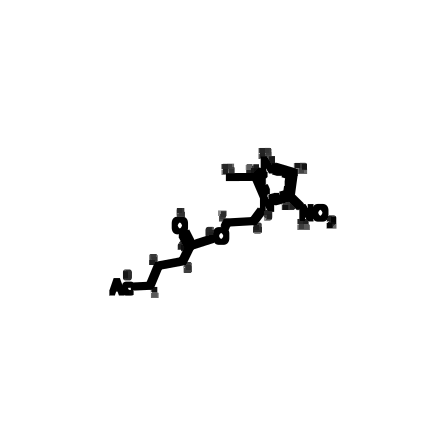 CC(=O)CCCC(=O)OCCn1c([N+](=O)[O-])cnc1C